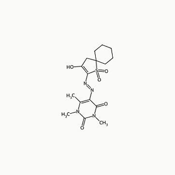 Cc1c(N=NC2=C(O)CC3(CCCCC3)S2(=O)=O)c(=O)n(C)c(=O)n1C